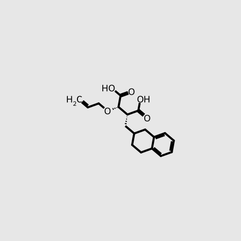 C=CCO[C@H](C(=O)O)[C@@H](CC1CCc2ccccc2C1)C(=O)O